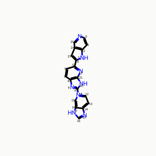 c1cc2[nH]c(-c3ccc4nc(-[n+]5ccc6nc[nH]c6c5)[nH]c4n3)cc2cn1